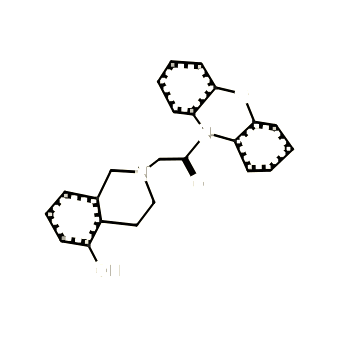 O=C(CN1CCc2c(O)cccc2C1)N1c2ccccc2Oc2ccccc21